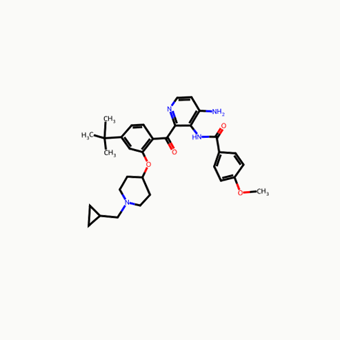 COc1ccc(C(=O)Nc2c(N)ccnc2C(=O)c2ccc(C(C)(C)C)cc2OC2CCN(CC3CC3)CC2)cc1